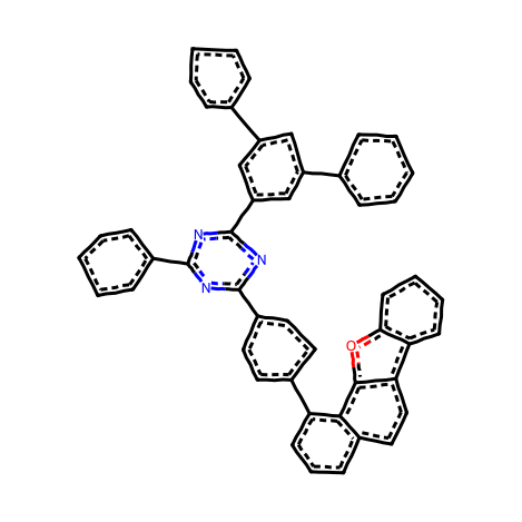 c1ccc(-c2cc(-c3ccccc3)cc(-c3nc(-c4ccccc4)nc(-c4ccc(-c5cccc6ccc7c8ccccc8oc7c56)cc4)n3)c2)cc1